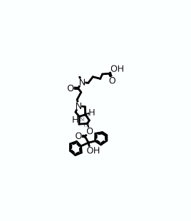 CN(CCCCC(=O)O)C(=O)CCN1C[C@H]2C[C@H](OC(=O)C(O)(c3ccccc3)c3ccccc3)C[C@H]2C1